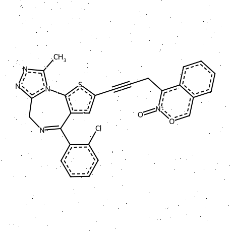 Cc1nnc2n1-c1sc(C#CCc3c4ccccc4co[n+]3=O)cc1C(c1ccccc1Cl)=NC2